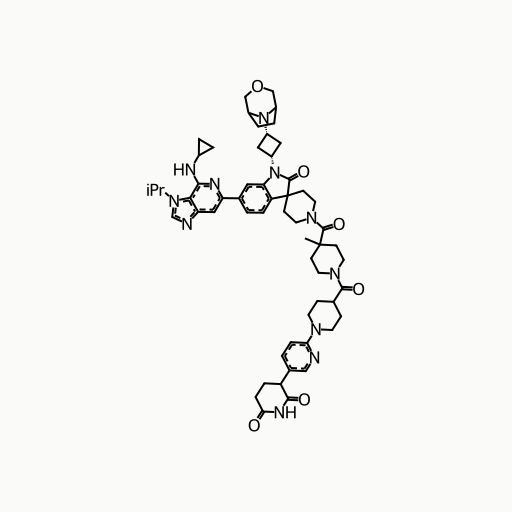 CC(C)n1cnc2cc(-c3ccc4c(c3)N([C@H]3C[C@@H](N5C6CCC5COC6)C3)C(=O)C43CCN(C(=O)C4(C)CCN(C(=O)C5CCN(c6ccc(C7CCC(=O)NC7=O)cn6)CC5)CC4)CC3)nc(NC3CC3)c21